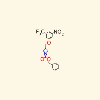 O=C(OCc1ccccc1)N1CC(COc2cc([N+](=O)[O-])cc(C(F)(F)F)c2)C1